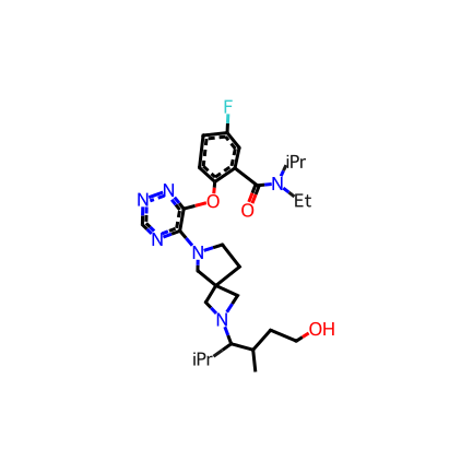 CCN(C(=O)c1cc(F)ccc1Oc1nncnc1N1CCC2(C1)CN(C(C(C)C)C(C)CCO)C2)C(C)C